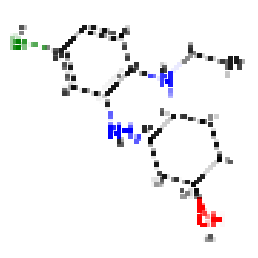 CC(C)CN(c1ccc(Br)cc1N)[C@H]1CC[C@H](O)CC1